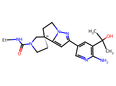 CCNC(=O)N1CC[C@@]2(CCn3nc(-c4cnc(N)c(C(C)(C)O)c4)cc32)C1